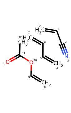 C=CC#N.C=CC=C.C=COC(C)=O